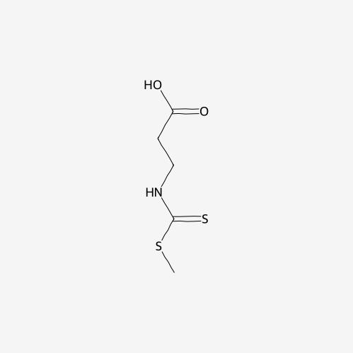 CSC(=S)NCCC(=O)O